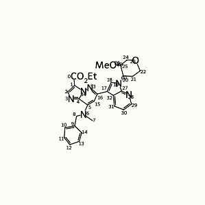 CCOC(=O)c1cnc2c(N(C)Cc3ccccc3)cc(-c3cn([C@H]4CCOC[C@@H]4OC)c4ncccc34)nn12